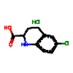 Cl.O=C(O)C1CCc2cc(Cl)ccc2N1